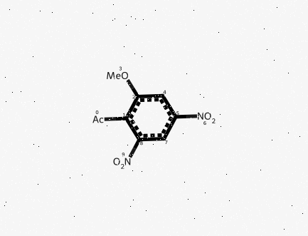 [CH2]C(=O)c1c(OC)cc([N+](=O)[O-])cc1[N+](=O)[O-]